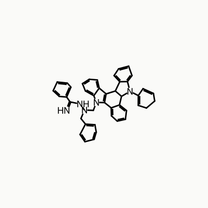 N=C(NN(Cc1ccccc1)Cn1c2c(c3ccccc31)C1c3ccccc3N(C3=CCCC=C3)C1c1ccccc1-2)c1ccccc1